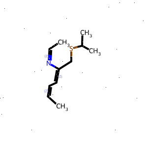 C\C=C/C=C(CSC(C)C)\N=C/C